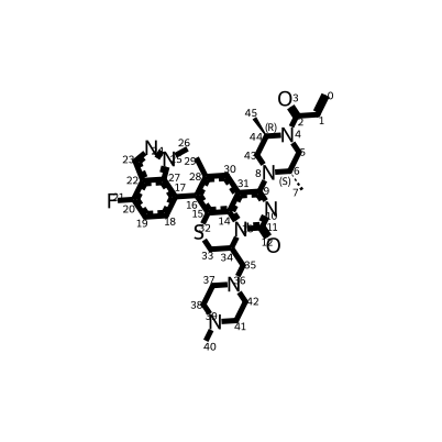 C=CC(=O)N1C[C@H](C)N(c2nc(=O)n3c4c(c(-c5ccc(F)c6cnn(C)c56)c(C)cc24)SCC3CN2CCN(C)CC2)C[C@H]1C